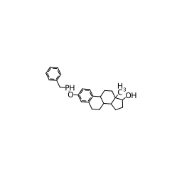 CC12CCC3c4ccc(OPCc5ccccc5)cc4CCC3C1CCC2O